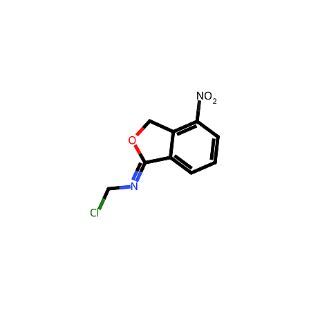 O=[N+]([O-])c1cccc2c1COC2=NCCl